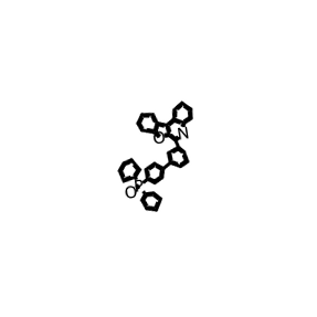 O=P(c1ccccc1)(c1ccccc1)c1ccc(-c2cccc(-c3nc4ccccc4c4c3oc3ccccc34)c2)cc1